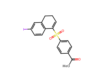 COC(=O)c1ccc(S(=O)(=O)C2=CCCc3cc(I)ccc32)cc1